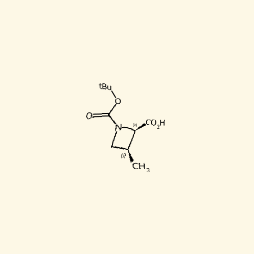 C[C@H]1CN(C(=O)OC(C)(C)C)[C@H]1C(=O)O